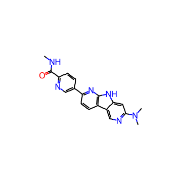 CNC(=O)c1ccc(-c2ccc3c(n2)[nH]c2cc(N(C)C)ncc23)cn1